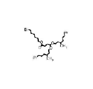 CC(C)CCCC(C)CCOC(CCC(=O)OCCCCCCBr)OCCC(C)CCCC(C)C